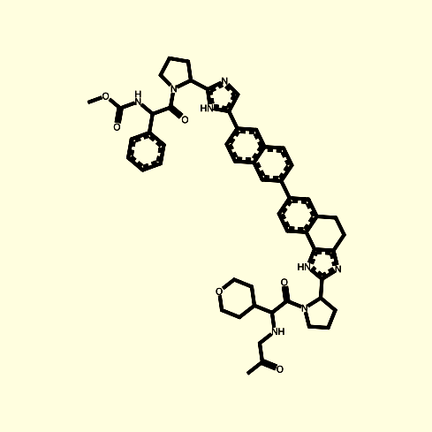 COC(=O)NC(C(=O)N1CCCC1c1ncc(-c2ccc3cc(-c4ccc5c(c4)CCc4nc(C6CCCN6C(=O)C(NCC(C)=O)C6CCOCC6)[nH]c4-5)ccc3c2)[nH]1)c1ccccc1